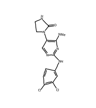 CNc1nc(Nc2ccc(Cl)c(Cl)c2)ncc1N1CCNC1=O